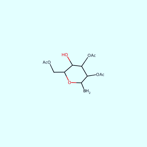 BC1OC(COC(C)=O)C(O)C(OC(C)=O)C1OC(C)=O